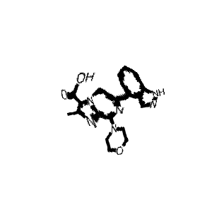 Cc1nc2c(N3CCOCC3)nc(-c3cccc4[nH]ncc34)cn2c1C(=O)O